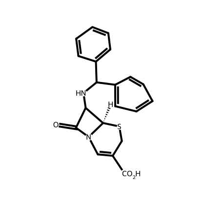 O=C(O)C1=CN2C(=O)C(NC(c3ccccc3)c3ccccc3)[C@H]2SC1